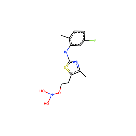 Cc1ccc(F)cc1Nc1nc(C)c(CCON(O)O)s1